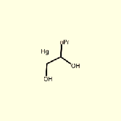 [CH2]CCC(O)CO.[Hg]